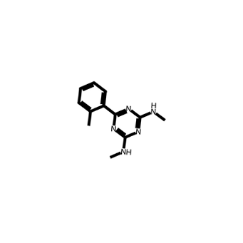 CNc1nc(NC)nc(-c2ccccc2C)n1